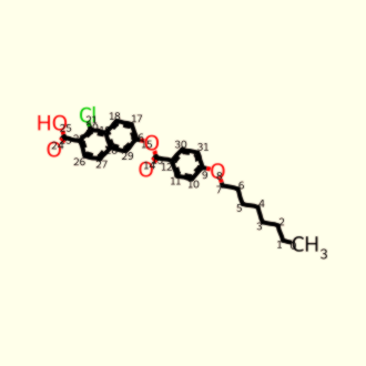 CCCCCCCCOc1ccc(C(=O)Oc2ccc3c(Cl)c(C(=O)O)ccc3c2)cc1